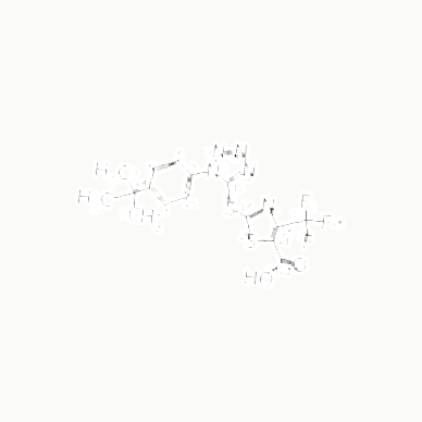 CC(C)(C)c1ccc(-n2nnnc2Sc2nc(C(F)(F)F)c(C(=O)O)s2)cc1